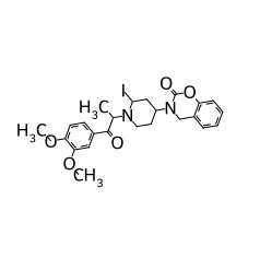 COc1ccc(C(=O)C(C)N2CCC(N3Cc4ccccc4OC3=O)CC2I)cc1OC